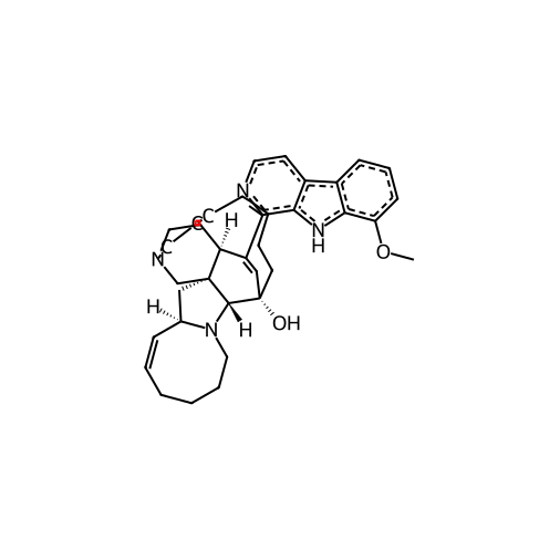 COc1cccc2c1[nH]c1c(C3=C[C@@]4(O)CC/C=C/CCCCN5CC[C@@H]3[C@]3(C[C@@H]6/C=C\CCCCN6[C@H]34)C5)nccc12